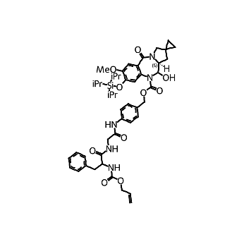 C=CCOC(=O)NC(Cc1ccccc1)C(=O)NCC(=O)Nc1ccc(COC(=O)N2c3cc(O[Si](C(C)C)(C(C)C)C(C)C)c(OC)cc3C(=O)N3CC4(CC4)C[C@H]3C2O)cc1